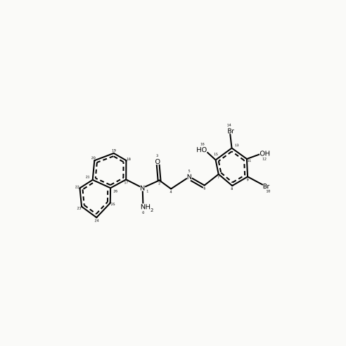 NN(C(=O)CN=Cc1cc(Br)c(O)c(Br)c1O)c1cccc2ccccc12